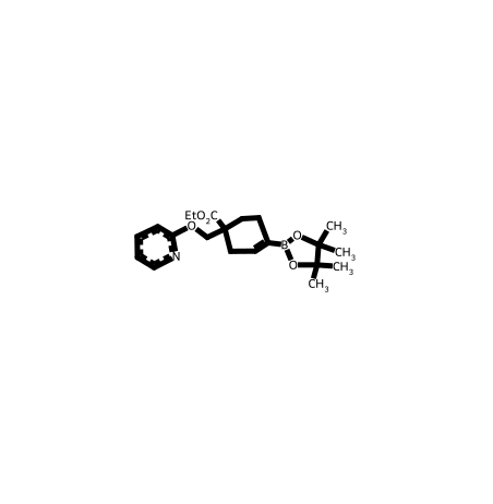 CCOC(=O)C1(COc2ccccn2)CC=C(B2OC(C)(C)C(C)(C)O2)CC1